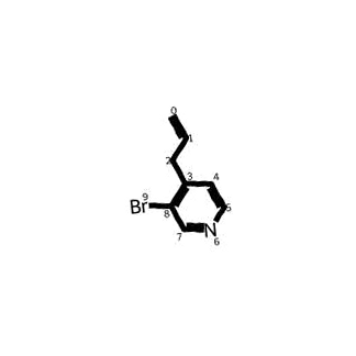 C=CCc1ccncc1Br